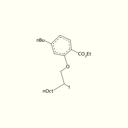 CCCCCCCCC(I)COc1cc(CCCC)ccc1C(=O)OCC